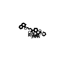 Nc1[nH]nc(C(=O)N2CCCCC2)c1-c1cccc2c(CCCOc3cccc4ccccc34)c(OC(=O)O)[nH]c12